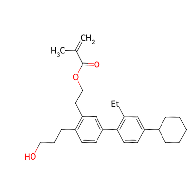 C=C(C)C(=O)OCCc1cc(-c2ccc(C3CCCCC3)cc2CC)ccc1CCCO